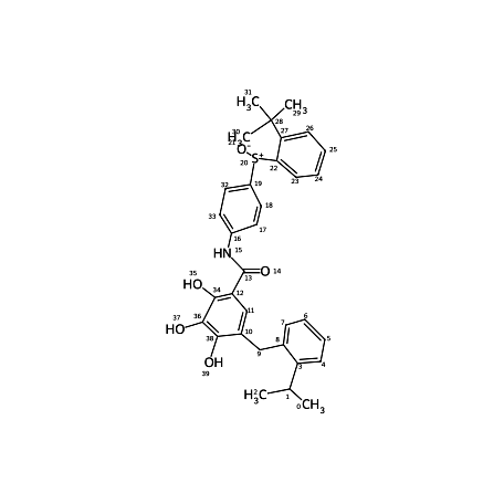 CC(C)c1ccccc1Cc1cc(C(=O)Nc2ccc([S+]([O-])c3ccccc3C(C)(C)C)cc2)c(O)c(O)c1O